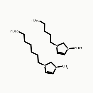 CCCCCCCCCCCCCCCCN1C=CN(C)C1.CCCCCCCCCCCCCCN1C=CN(CCCCCCCC)C1